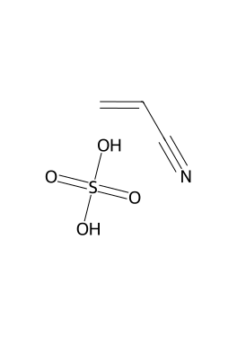 C=CC#N.O=S(=O)(O)O